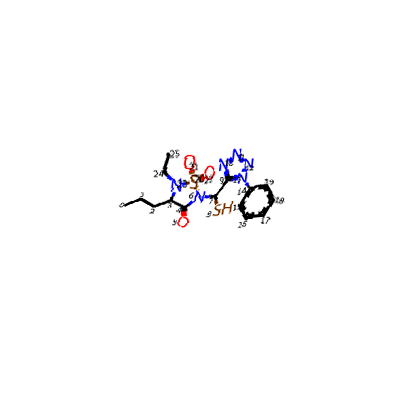 CCCC1C(=O)N(C(S)c2nnnn2-c2ccccc2)S(=O)(=O)N1CC